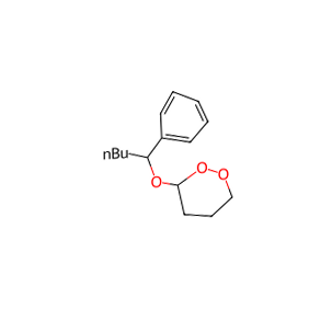 CCCCC(OC1CCCOO1)c1ccccc1